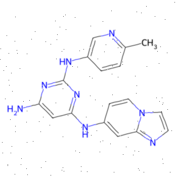 Cc1ccc(Nc2nc(N)cc(Nc3ccn4ccnc4c3)n2)cn1